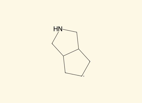 [CH]1CC2CNCC2C1